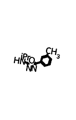 Cc1cccc(-c2nnc(NC(C)C)o2)c1